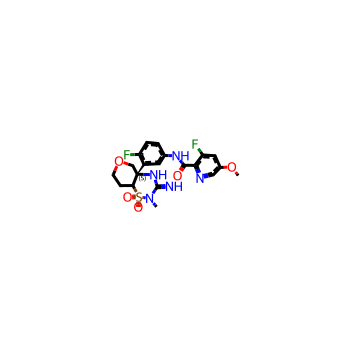 COc1cnc(C(=O)Nc2ccc(F)c([C@]34COCCC3S(=O)(=O)N(C)C(=N)N4)c2)c(F)c1